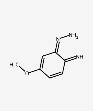 COC1=C/C(=N/N)C(=N)C=C1